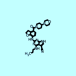 CCCNc1nc(Nc2ccc(C(=O)N3CCC(N4CCOCC4)CC3)c3c2OCC3)nc2[nH]cc(C#N)c12